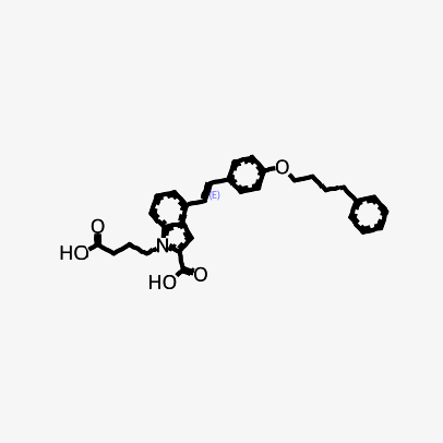 O=C(O)CCCn1c(C(=O)O)cc2c(/C=C/c3ccc(OCCCCc4ccccc4)cc3)cccc21